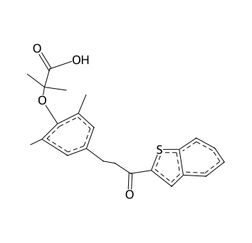 Cc1cc(CCC(=O)c2cc3ccccc3s2)cc(C)c1OC(C)(C)C(=O)O